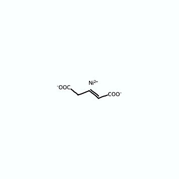 O=C([O-])C=CCC(=O)[O-].[Ni+2]